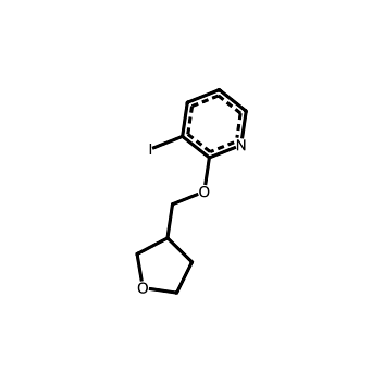 Ic1cccnc1OCC1CCOC1